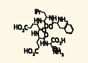 CCC(C)C(NC(=O)C(CCC(=O)O)NC(=O)C(CCC(=O)O)NC(=O)C(CC(C)C)NC(=O)C(N)Cc1ccccc1)C(=O)O.N